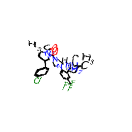 CC(=O)[N+]1(C(=O)N2CCN(c3ccc(C(F)(F)F)cc3[C@@H](N)CC(C)C)CC2)CCC(c2ccc(Cl)cc2)C1